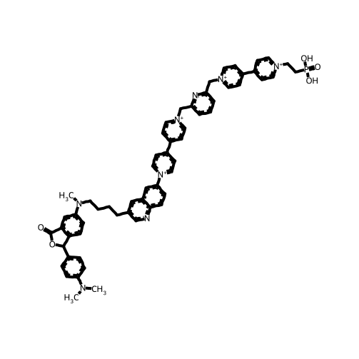 CN(C)c1ccc(C2OC(=O)c3cc(N(C)CCCCc4cnc5ccc(-[n+]6ccc(-c7cc[n+](Cc8cccc(C[n+]9ccc(-c%10cc[n+](CCP(=O)(O)O)cc%10)cc9)n8)cc7)cc6)cc5c4)ccc32)cc1